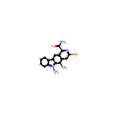 Cc1c2cc(O)nc(C(N)=O)c2cc2c3ccccc3n(C)c12